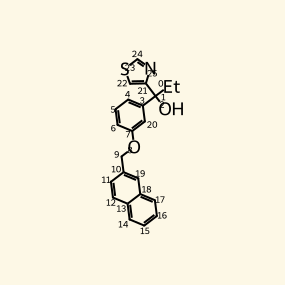 CCC(O)(c1cccc(OCc2ccc3ccccc3c2)c1)c1cscn1